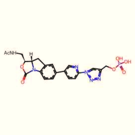 CC(=O)NC[C@@H]1OC(=O)N2c3ccc(-c4ccc(-n5cc(COP(=O)(O)O)nn5)nc4)cc3C[C@@H]12